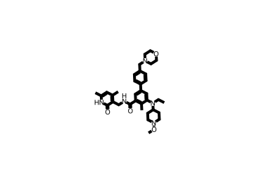 CCN(c1cc(-c2ccc(CN3CCOCC3)cc2)cc(C(=O)NCc2c(C)cc(C)[nH]c2=O)c1C)C1CCN(OC)CC1